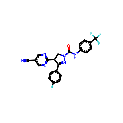 N#Cc1cnc(C2CN(C(=O)Nc3ccc(C(F)(F)F)cc3)N=C2c2ccc(F)cc2)nc1